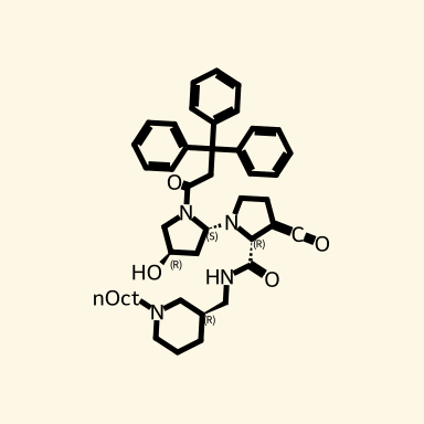 CCCCCCCCN1CCC[C@H](CNC(=O)[C@H]2C(=C=O)CCN2[C@@H]2C[C@@H](O)CN2C(=O)CC(c2ccccc2)(c2ccccc2)c2ccccc2)C1